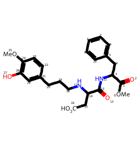 COC(=O)C(Cc1ccccc1)NC(=O)C(CC(=O)O)NCCCc1ccc(OC)c(O)c1